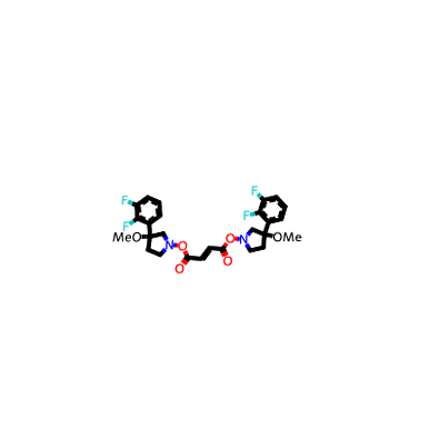 COC1(c2cccc(F)c2F)CCN(OC(=O)/C=C/C(=O)ON2CCC(OC)(c3cccc(F)c3F)C2)C1